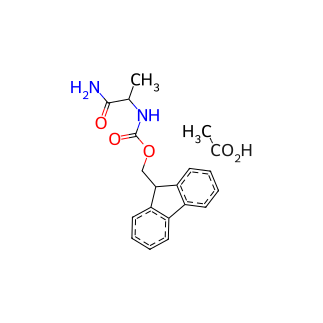 CC(=O)O.CC(NC(=O)OCC1c2ccccc2-c2ccccc21)C(N)=O